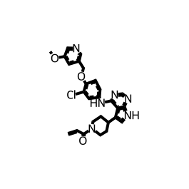 C=CC(=O)N1CCC(c2c[nH]c3ncnc(Nc4ccc(OCc5cncc(OC)c5)c(Cl)c4)c23)CC1